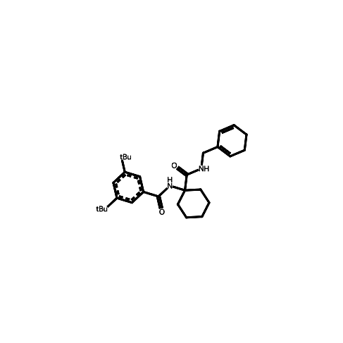 CC(C)(C)c1cc(C(=O)NC2(C(=O)NCC3=CCCC=C3)CCCCC2)cc(C(C)(C)C)c1